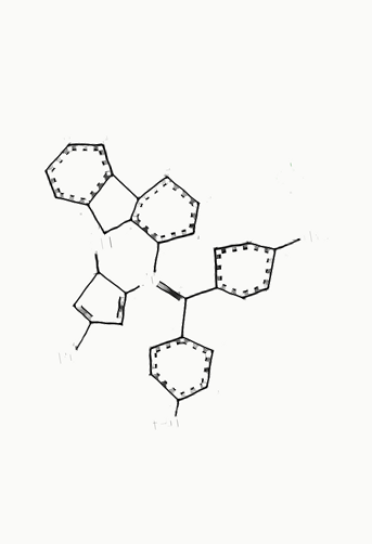 CC1C=C(C(C)(C)C)C=[C]1[Zr+2](=[C](c1ccc(C(C)(C)C)cc1)c1ccc(C(C)(C)C)cc1)[c]1cccc2c1Cc1ccccc1-2.[Cl-].[Cl-]